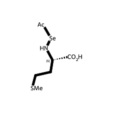 CSCC[C@H](N[Se]C(C)=O)C(=O)O